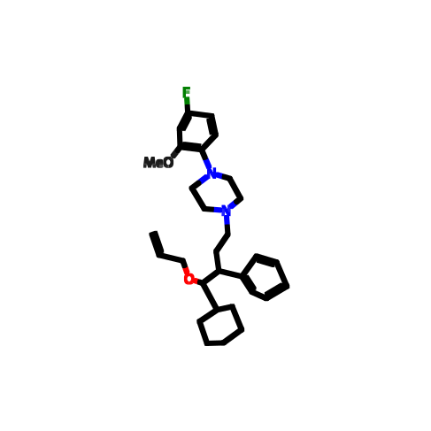 C=CCOC(C1CCCCC1)C(CCN1CCN(c2ccc(F)cc2OC)CC1)c1ccccc1